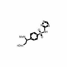 CCCCCCCCCCCC(NC)c1ccc(S(=O)(=O)Nc2nncs2)cc1